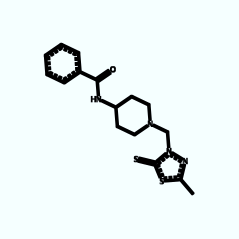 Cc1nn(CN2CCC(NC(=O)c3ccccc3)CC2)c(=S)s1